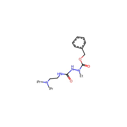 CCN(NC(=O)NCCN(C(C)C)C(C)C)C(=O)OCc1ccccc1